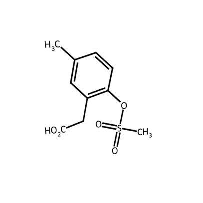 Cc1ccc(OS(C)(=O)=O)c(CC(=O)O)c1